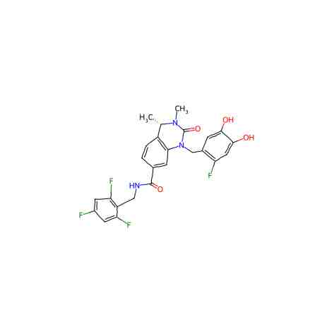 C[C@H]1c2ccc(C(=O)NCc3c(F)cc(F)cc3F)cc2N(Cc2cc(O)c(O)cc2F)C(=O)N1C